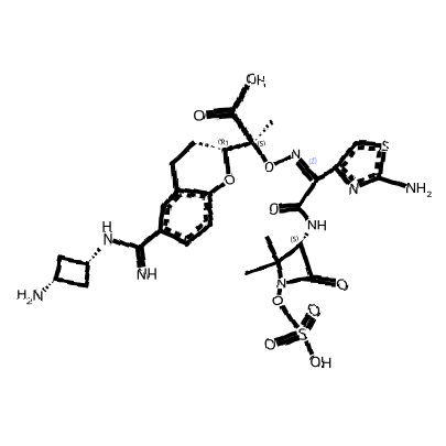 CC1(C)[C@H](NC(=O)/C(=N\O[C@](C)(C(=O)O)[C@H]2CCc3cc(C(=N)N[C@H]4C[C@@H](N)C4)ccc3O2)c2csc(N)n2)C(=O)N1OS(=O)(=O)O